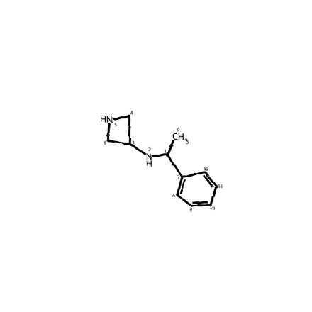 CC(NC1CNC1)c1ccccc1